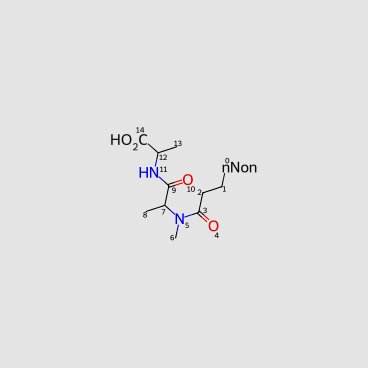 CCCCCCCCCCCC(=O)N(C)C(C)C(=O)NC(C)C(=O)O